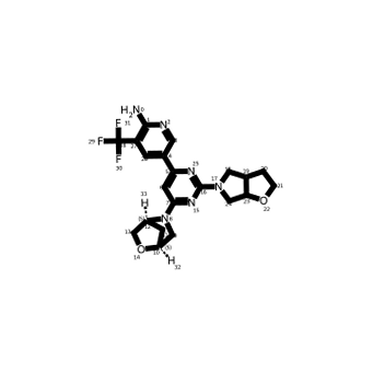 Nc1ncc(-c2cc(N3C[C@@H]4C[C@H]3CO4)nc(N3CC4CCOC4C3)n2)cc1C(F)(F)F